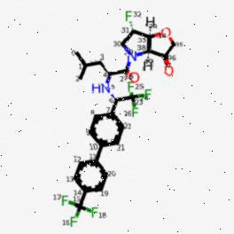 CC(C)C[C@H](N[C@@H](c1ccc(-c2ccc(C(F)(F)F)cc2)cc1)C(F)(F)F)C(=O)N1C[C@H](F)[C@H]2OCC(=O)[C@H]21